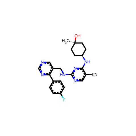 C[C@]1(O)CC[C@@H](Nc2nc(NCc3cncnc3-c3ccc(F)cc3)ncc2C#N)CC1